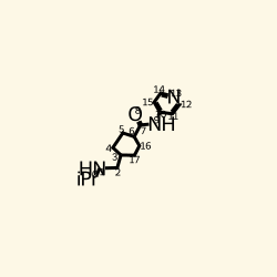 CC(C)NCC1CCC(C(=O)Nc2ccncc2)CC1